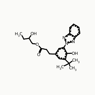 CCC(O)COC(=O)CCc1cc(-n2nc3ccccc3n2)c(O)c(C(C)(C)C)c1